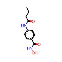 CCCC(=O)Nc1ccc(C(=O)NO)cc1